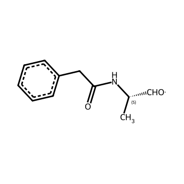 C[C@@H]([C]=O)NC(=O)Cc1ccccc1